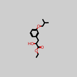 CCOC(=O)C(O)Cc1cccc(OCC(C)C)c1